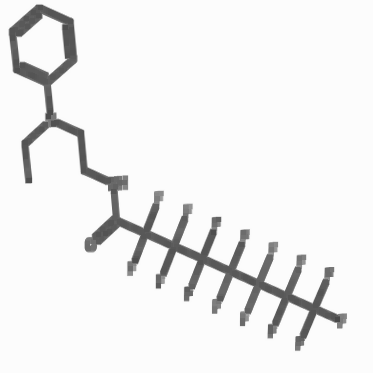 CCN(CCNC(=O)C(F)(F)C(F)(F)C(F)(F)C(F)(F)C(F)(F)C(F)(F)C(F)(F)F)c1ccccc1